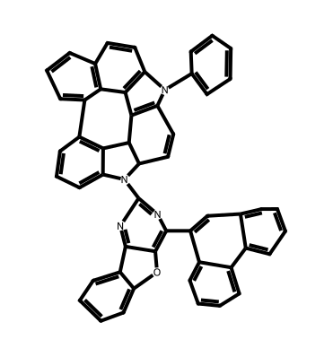 C1=CC2C3c4c(cccc4N2c2nc(-c4cc5ccccc5c5ccccc45)c4oc5ccccc5c4n2)-c2cccc4ccc5c(c3c1n5-c1ccccc1)c24